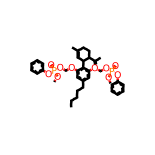 C=C(C)C1CCC(C)=CC1c1c(OCOP(=O)(OC)Oc2ccccc2)cc(CCCCC)cc1OCOP(=O)(OC)Oc1ccccc1